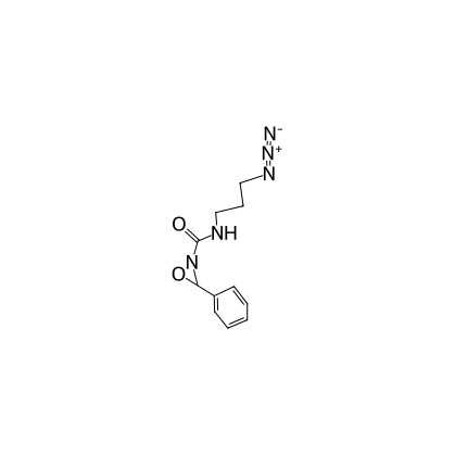 [N-]=[N+]=NCCCNC(=O)N1OC1c1ccccc1